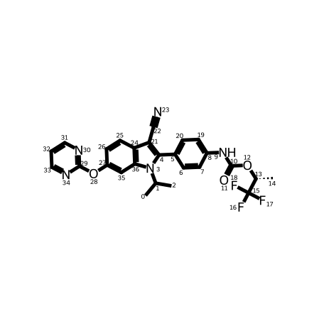 CC(C)n1c(-c2ccc(NC(=O)O[C@H](C)C(F)(F)F)cc2)c(C#N)c2ccc(Oc3ncccn3)cc21